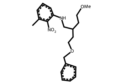 COCCC(CCOCc1ccccc1)CNc1cccc(C)c1[N+](=O)[O-]